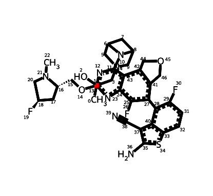 CC(O)CN1CC2CC(C1)N2c1nc(OC[C@@H]2C[C@@H](F)CN2C)nc2c(F)c(-c3c(F)ccc4sc(N)c(C#N)c34)c3c(c12)COC3